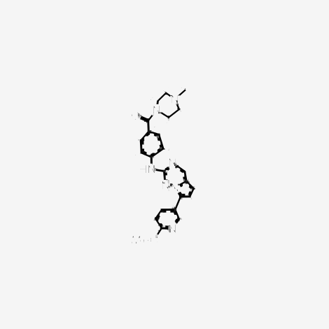 COc1ccc(-c2ccc3cnc(Nc4ccc(C(=O)N5CCN(C)CC5)cc4)nn23)cn1